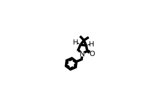 CC1(C)[C@@H]2CN(Cc3ccccc3)C(=O)[C@@H]21